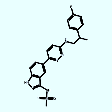 CC(CNc1ccc(-c2ccc3[nH]nc(NS(C)(=O)=O)c3c2)nn1)c1ccc(F)cc1